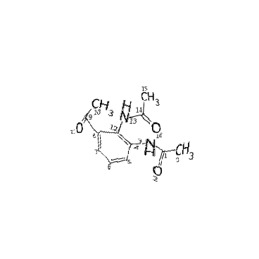 CC(=O)Nc1cccc(C(C)=O)c1NC(C)=O